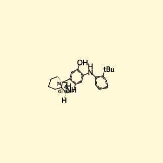 CC(C)(C)c1ccccc1Nc1cc2c(cc1O)[C@]13CCCC[C@@H]1[C@H](C2)NCC3